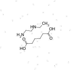 CCNCCN.O=C(O)CCCCC(=O)O